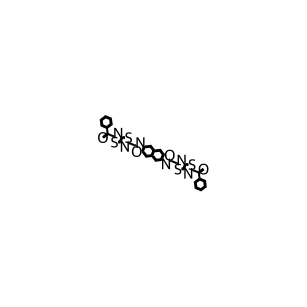 O=C(c1ccccc1)c1nc2sc(-c3nc4cc5cc6oc(-c7nc8sc(C(=O)c9ccccc9)nc8s7)nc6cc5cc4o3)nc2s1